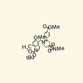 CNS(=O)(=O)[C@H]1CCN(Cc2c(OC)cc(C)c3c2ccn3C(=O)OC(C)(C)C)[C@H](c2ccc(C(=O)OC)cc2)C1